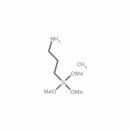 C.CO[Si](CCCN)(OC)OC